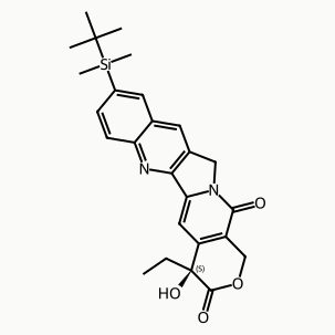 CC[C@@]1(O)C(=O)OCc2c1cc1n(c2=O)Cc2cc3cc([Si](C)(C)C(C)(C)C)ccc3nc2-1